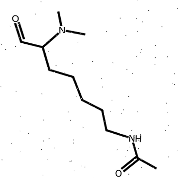 CC(=O)NCCCCCC(C=O)N(C)C